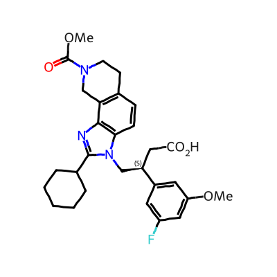 COC(=O)N1CCc2ccc3c(nc(C4CCCCC4)n3C[C@@H](CC(=O)O)c3cc(F)cc(OC)c3)c2C1